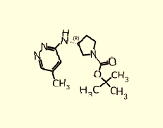 Cc1cnnc(N[C@@H]2CCN(C(=O)OC(C)(C)C)C2)c1